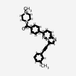 Cc1cccc(C#Cc2cnc3ccc(-c4ccc(C(=O)N5CCN(C)CC5)cc4)nn23)c1